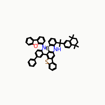 CC1(C)CCC(C)(C)c2cc(C(C)(C)c3cccc4c3Nc3cc5c(sc6ccccc65)c5c3B4N(c3cccc4c3oc3ccccc34)c3ccc(-c4ccccc4)cc3-5)ccc21